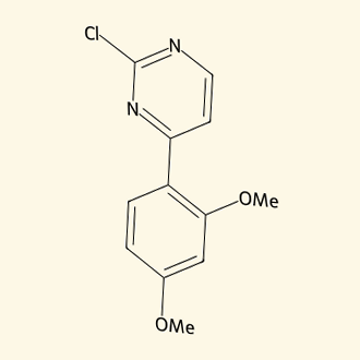 COc1ccc(-c2ccnc(Cl)n2)c(OC)c1